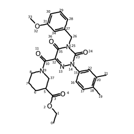 CCOC(=O)C1CCCN(C(=O)c2nn(-c3ccc(C)c(C)c3)c(=O)n(Cc3cccc(OC)c3)c2=O)C1